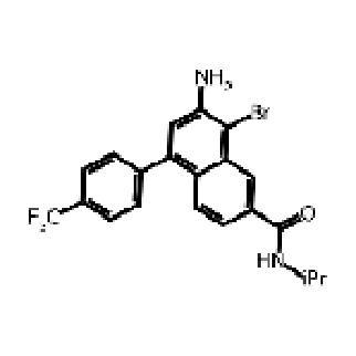 CC(C)NC(=O)c1ccc2c(-c3ccc(C(F)(F)F)cc3)cc(N)c(Br)c2c1